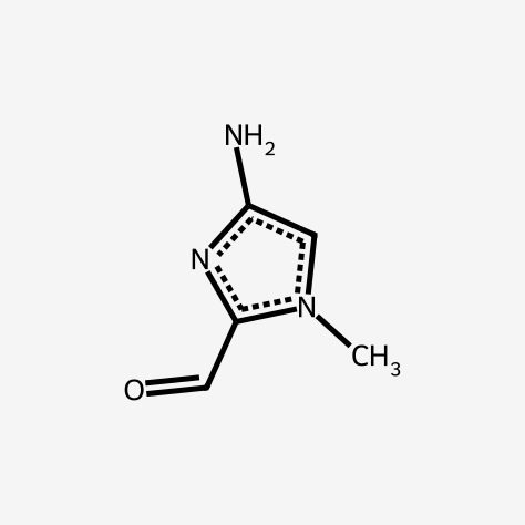 Cn1cc(N)nc1C=O